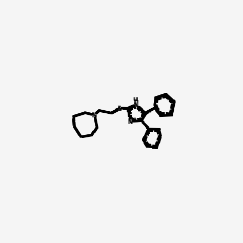 c1ccc(-c2nc(SCCN3CCCCCC3)[nH]c2-c2ccccc2)cc1